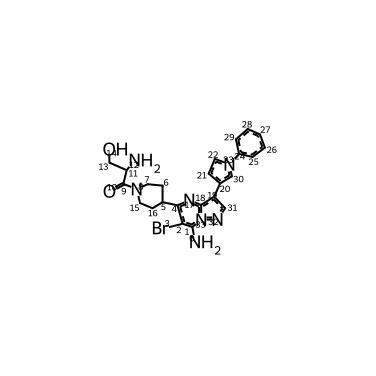 Nc1c(Br)c(C2CCN(C(=O)C(N)CO)CC2)nc2c(-c3ccn(-c4ccccc4)c3)cnn12